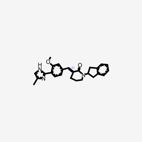 COc1cc(/C=C2\CCCN(C3Cc4ccccc4C3)C2=O)ccc1-c1nc(C)c[nH]1